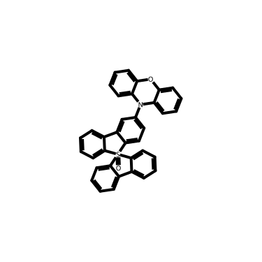 O=S12(c3ccccc3-c3ccccc31)c1ccccc1-c1cc(N3c4ccccc4Oc4ccccc43)ccc12